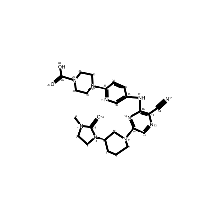 CN1CCN([C@@H]2CCCN(c3cnc(C#N)c(Nc4ccc(N5CCN(C(=O)O)CC5)nc4)n3)C2)C1=O